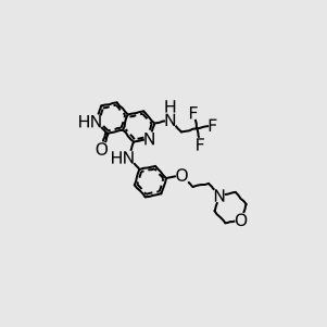 O=c1[nH]ccc2cc(NCC(F)(F)F)nc(Nc3cccc(OCCN4CCOCC4)c3)c12